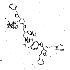 C[C@H](Cc1ccc(OC(CCCc2ccccc2)(CCCc2ccccc2)P=O)cc1)NC[C@H](O)COc1ccc(OCc2ccccc2)c(NS(C)(=O)=O)c1